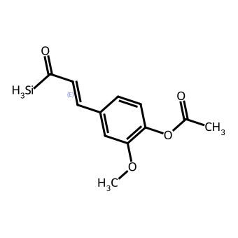 COc1cc(/C=C/C(=O)[SiH3])ccc1OC(C)=O